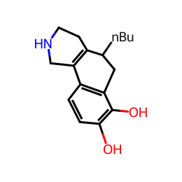 CCCCC1Cc2c(ccc(O)c2O)C2=C1CCNC2